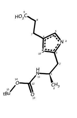 C[C@H](Cc1ncc(CCC(=O)O)s1)NC(=O)OC(C)(C)C